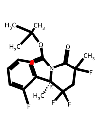 CC(C)(C)OC(=O)N1C(=O)C(C)(F)CC(F)(F)[C@@]1(C)c1ccccc1F